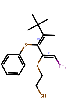 C/C(=C(Sc1ccccc1)\C(=C\P)SCCS)C(C)(C)C